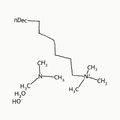 CCCCCCCCCCCCCCCC[N+](C)(C)C.CN(C)C.O.[OH-]